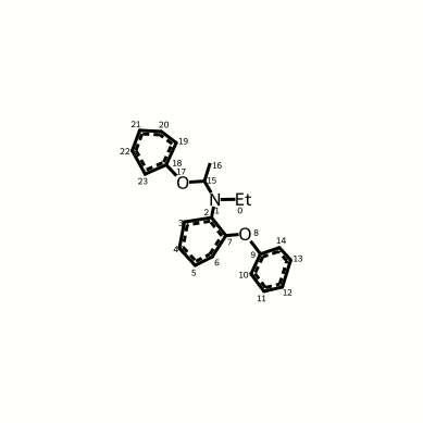 CCN(c1ccccc1Oc1ccccc1)C(C)Oc1ccccc1